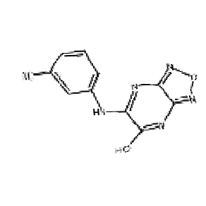 N#Cc1cccc(Nc2nc3nonc3nc2O)c1